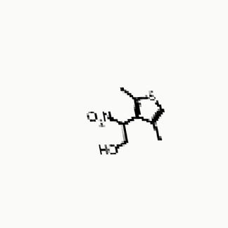 Cc1csc(C)c1C(CO)[N+](=O)[O-]